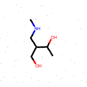 CNCC(CO)C(C)O